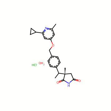 Cc1cc(OCc2ccc(C(C)[C@]3(C)CC(=O)NC3=O)cc2)cc(C2CC2)n1.Cl.O